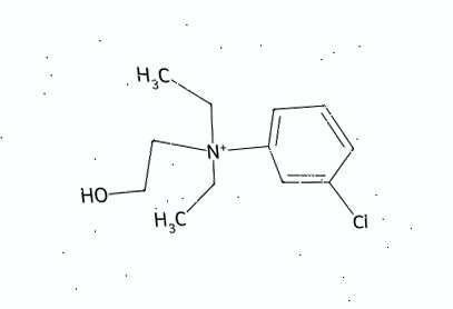 CC[N+](CC)(CCO)c1cccc(Cl)c1